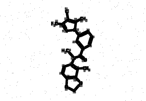 Cc1c(N(C)C(=O)c2cccc(-n3nc(C(F)(F)F)c(Cl)c3C)c2)ccc2c1OCO2